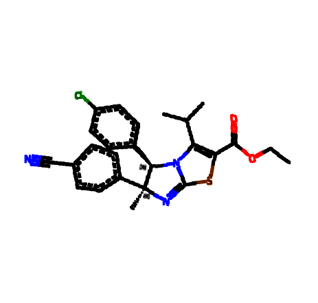 CCOC(=O)C1=C(C(C)C)N2C(=N[C@@](C)(c3ccc(C#N)cc3)[C@H]2c2ccc(Cl)cc2)S1